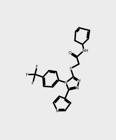 O=C(CSc1nnc(-c2ccncc2)n1-c1ccc(C(F)(F)F)cc1)NC1C=CC=CC1